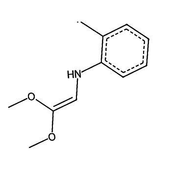 [CH2]c1ccccc1NC=C(OC)OC